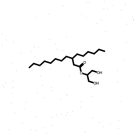 CCCCCCCCC(CCCCCC)CC(=O)OC(CO)CO